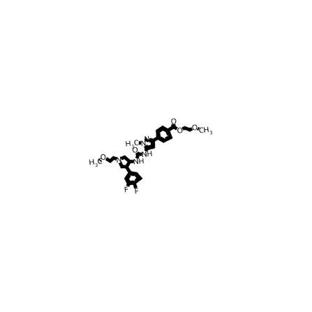 COCCOC(=O)c1ccc(-c2cc(NC(=O)NC3CN(CCOC)CC3c3ccc(F)c(F)c3)n(C)n2)cc1